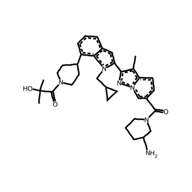 Cc1c(-c2cc3cccc(C4CCN(C(=O)C(C)(C)O)CC4)c3n2CC2CC2)nn2cc(C(=O)N3CCCC(N)C3)ccc12